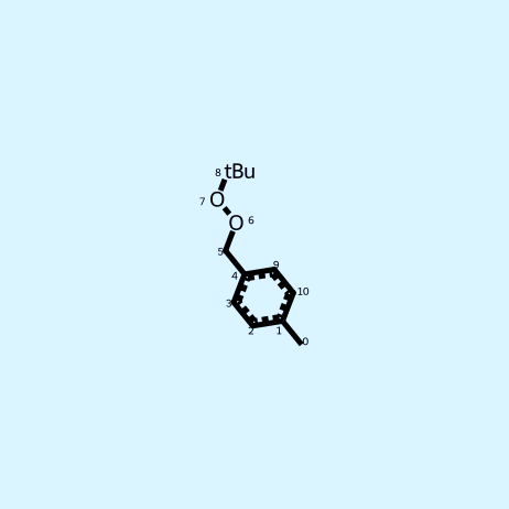 Cc1ccc(COOC(C)(C)C)cc1